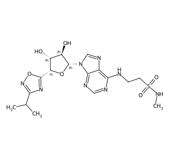 CNS(=O)(=O)CCNc1ncnc2c1ncn2[C@@H]1O[C@H](c2nc(C(C)C)no2)[C@H](O)[C@H]1O